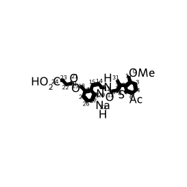 COCc1ccc(C(C)=O)c2sc(C(=O)Nc3ccc4c(COC(=O)CCC(=O)O)cccc4n3)c(C)c12.[NaH]